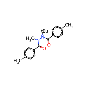 Cc1ccc(C(=O)N(C)N(C(=O)c2ccc(C)cc2)C(C)(C)C)cc1